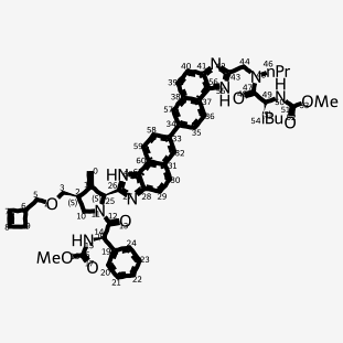 C=C1[C@H](COCC2C=CC2)CN(C(=O)[C@H](NC(=O)OC)c2ccccc2)[C@@H]1c1nc2ccc3cc(-c4ccc5c(ccc6nc(CN(CCC)C(=O)C(NC(=O)OC)[C@@H](C)CC)[nH]c65)c4)ccc3c2[nH]1